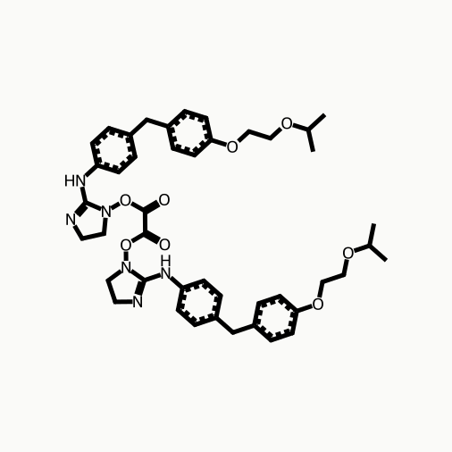 CC(C)OCCOc1ccc(Cc2ccc(NC3=NCCN3OC(=O)C(=O)ON3CCN=C3Nc3ccc(Cc4ccc(OCCOC(C)C)cc4)cc3)cc2)cc1